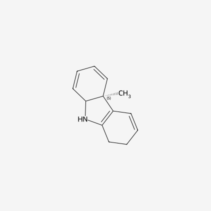 C[C@@]12C=CC=CC1NC1=C2C=CCC1